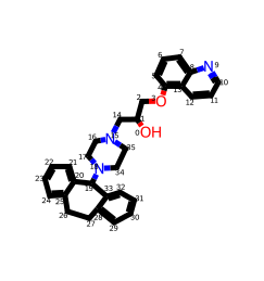 OC(COc1cccc2ncccc12)CN1CCN(C2c3ccccc3CCc3ccccc32)CC1